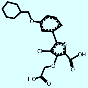 O=C(O)COc1c(C(=O)O)sc(-c2cccc(OCC3CCCCC3)c2)c1Cl